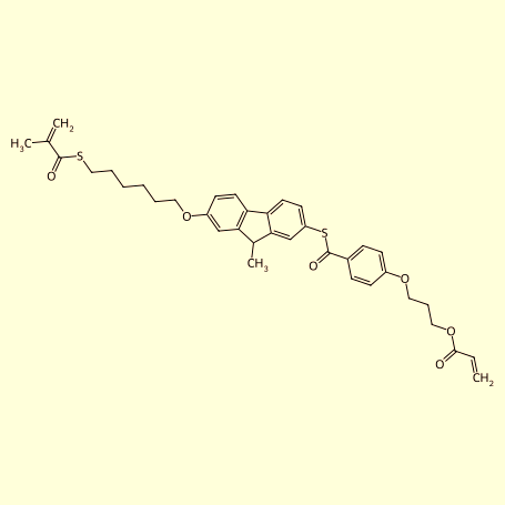 C=CC(=O)OCCCOc1ccc(C(=O)Sc2ccc3c(c2)C(C)c2cc(OCCCCCCSC(=O)C(=C)C)ccc2-3)cc1